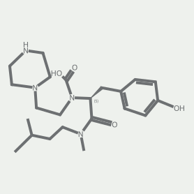 CC(C)CCN(C)C(=O)[C@H](Cc1ccc(O)cc1)N(CCN1CCNCC1)C(=O)O